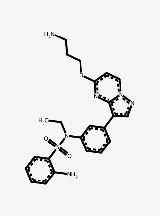 CCN(c1cccc(-c2cnn3ccc(OCCCN)nc23)c1)S(=O)(=O)c1ccccc1N